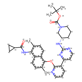 Cc1ccc2c(Oc3ncccc3-c3ccnc(N[C@H]4CCCN(C(=O)OC(C)(C)C)C4)n3)c(C)ccc2c1NC(=O)C1CC1